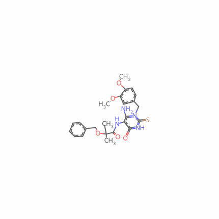 COc1ccc(Cn2c(N)c(NC(=O)C(C)(C)OCc3ccccc3)c(=O)[nH]c2=S)cc1OC